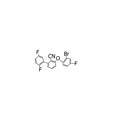 N#Cc1c(Oc2ccc(F)cc2Br)cccc1-c1cc(F)ccc1F